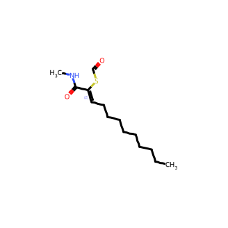 CCCCCCCCC/C=C(\SC=O)C(=O)NC